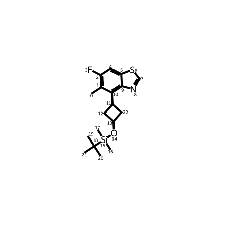 Cc1c(F)cc2scnc2c1C1CC(O[Si](C)(C)C(C)(C)C)C1